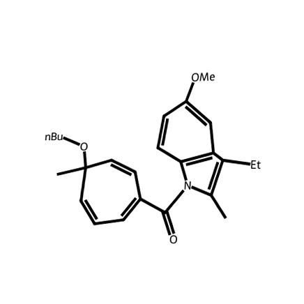 CCCCOC1(C)C=CC=C(C(=O)n2c(C)c(CC)c3cc(OC)ccc32)C=C1